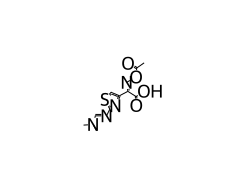 CC(=O)ON=C(C(=O)O)c1csc(N=CN(C)C)n1